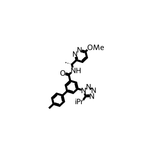 COc1ccc([C@@H](C)NC(=O)c2cc(-c3ccc(C)cc3)cc(-n3nnnc3C(C)C)c2)nn1